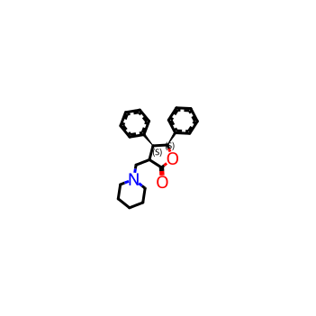 O=C1O[C@H](c2ccccc2)[C@H](c2ccccc2)C1CN1CCCCC1